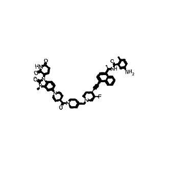 Cc1ccc(N)cc1C(=O)N[C@H](C)c1ccc(C#C[C@@H]2CCN(CC3CCN(C(=O)C4CCN(c5ccc6c(c5)n(C)c(=O)n6C5CCC(=O)NC5=O)CC4)CC3)C[C@@H]2F)c2ccccc12